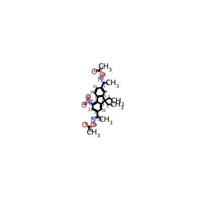 CCC1(CC)c2cc(/C(C)=N/OC(C)=O)ccc2-c2c([N+](=O)[O-])cc(/C(C)=N/OC(C)=O)cc21